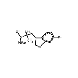 CN[S+]([O-])C(C)(C)CC1COc2cc(Br)ccc21